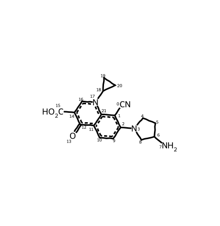 N#Cc1c(N2CCC(N)C2)ccc2c(=O)c(C(=O)O)cn(C3CC3)c12